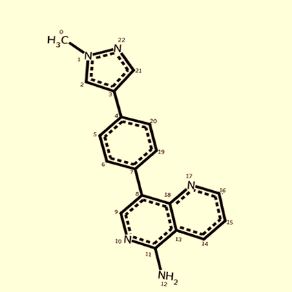 Cn1cc(-c2ccc(-c3cnc(N)c4cc[c]nc34)cc2)cn1